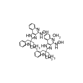 CCC(Cc1ccccc1)(NC)c1nc2c(NO)nc3ccccc3c2[nH]1.CCC(Cc1ccccc1)(NC)c1nc2c(NO)nc3ccccc3c2[nH]1.O